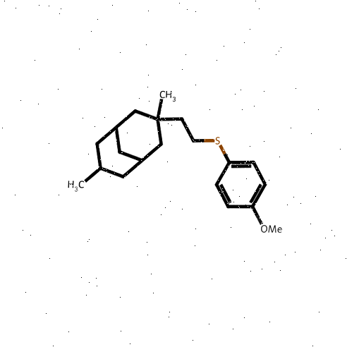 COc1ccc(SCCC2(C)CC3CC(C)CC(C3)C2)cc1